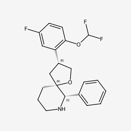 Fc1ccc(OC(F)F)c([C@@H]2CO[C@]3(CCCN[C@H]3c3ccccc3)C2)c1